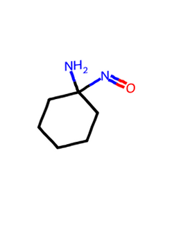 NC1(N=O)CCCCC1